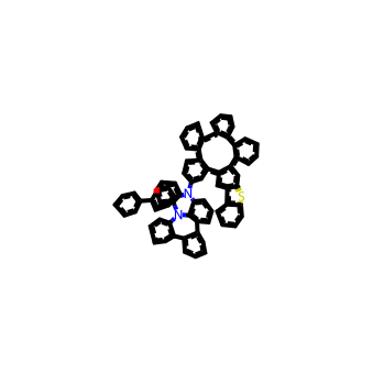 c1ccc(-c2ccc(N(c3ccc4c5ccccc5c5ccccc5c5ccccc5c5cc6sc7ccccc7c6cc5c4c3)c3cccc4c3N(c3ccccc3)c3ccccc3-c3ccccc3-4)cc2)cc1